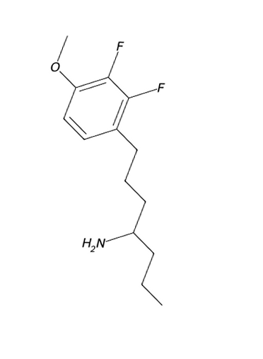 CCCC(N)CCCc1ccc(OC)c(F)c1F